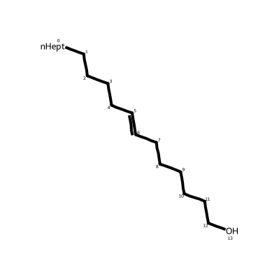 CCCCCCCCCCCC=CCCCCCCO